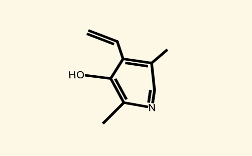 C=Cc1c(C)cnc(C)c1O